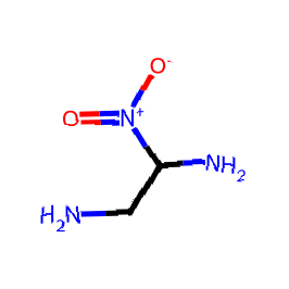 NCC(N)[N+](=O)[O-]